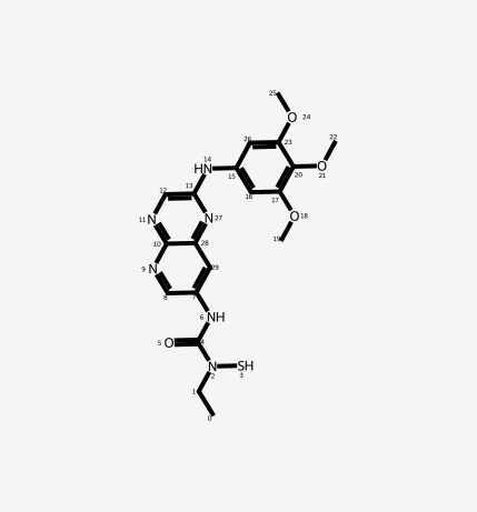 CCN(S)C(=O)Nc1cnc2ncc(Nc3cc(OC)c(OC)c(OC)c3)nc2c1